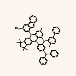 Cc1cc2c3c(c1)N(c1cc(C(C)(C)C)cc4c1oc1ccccc14)c1cc4c(cc1B3c1ccc(N(c3ccccc3)c3ccccc3)cc1N2c1cc(-c2ccccc2)ccc1C)C(C)(C)CC4(C)C